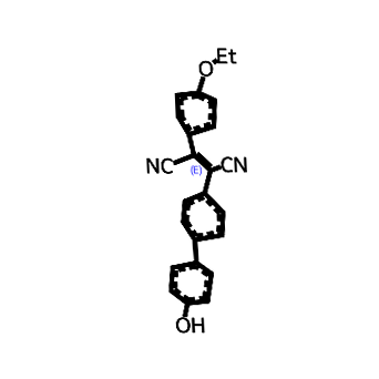 CCOc1ccc(/C(C#N)=C(\C#N)c2ccc(-c3ccc(O)cc3)cc2)cc1